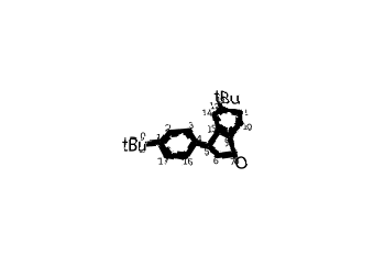 CC(C)(C)c1ccc(C2CC(=O)c3ccc(C(C)(C)C)cc32)cc1